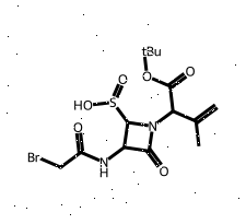 C=C(C)C(C(=O)OC(C)(C)C)N1C(=O)C(NC(=O)CBr)C1S(=O)O